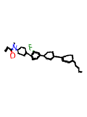 C=CC(=O)N(C)C1CCC(c2ccc(C3CCC(C4CCC(CCCCC)CC4)CC3)cc2F)CC1